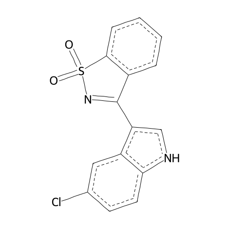 O=S1(=O)N=C(c2c[nH]c3ccc(Cl)cc23)c2ccccc21